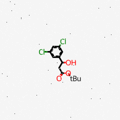 CC(C)(C)OC(=O)CC(O)c1cc(Cl)cc(Cl)c1